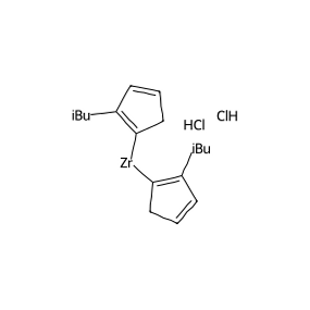 CCC(C)C1=[C]([Zr][C]2=C(C(C)CC)C=CC2)CC=C1.Cl.Cl